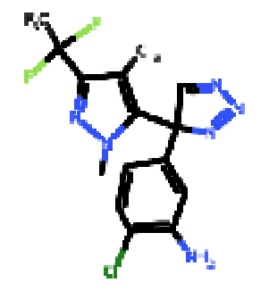 Cn1nc(C(F)(F)C(F)(F)F)c(C(F)(F)F)c1C1(c2ccc(Cl)c(N)c2)C=NN=N1